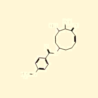 COc1ccc(C(=O)OC2CC/C=C\C(=O)C(O)C(O)CC2)cc1